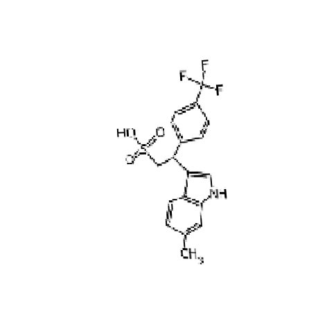 Cc1ccc2c(C(CS(=O)(=O)O)c3ccc(C(F)(F)F)cc3)c[nH]c2c1